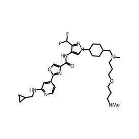 CNCCCOCCCN(C)CC1CCC(n2cc(NC(=O)c3coc(-c4ccnc(NCC5CC5)c4)n3)c(C(F)F)n2)CC1